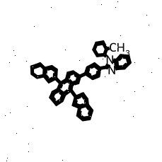 CC1C=CCCC1n1c(-c2ccc(-c3ccc4c(-c5ccc6c(c5)CCC=C6)c5ccccc5c(-c5ccc6ccccc6c5)c4c3)cc2)nc2ccccc21